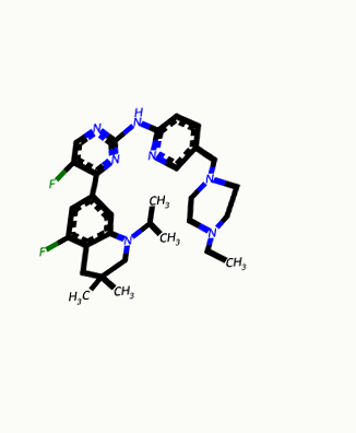 CCN1CCN(Cc2ccc(Nc3ncc(F)c(-c4cc(F)c5c(c4)N(C(C)C)CC(C)(C)C5)n3)nc2)CC1